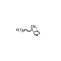 COCCN(C)[C@H]1CC[N]C1